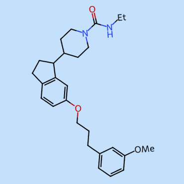 CCNC(=O)N1CCC(C2CCc3ccc(OCCCc4cccc(OC)c4)cc32)CC1